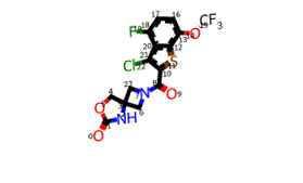 O=C1NC2(CO1)CN(C(=O)c1sc3c(OC(F)(F)F)ccc(F)c3c1Cl)C2